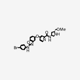 COC[C@H]1C[C@@H](NC(=O)c2cc(Oc3ccc4oc(Nc5ccc(Br)cc5)nc4c3)ccn2)CN1